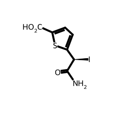 NC(=O)[C@H](I)c1ccc(C(=O)O)s1